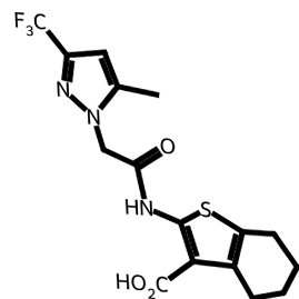 Cc1cc(C(F)(F)F)nn1CC(=O)Nc1sc2c(c1C(=O)O)CCCC2